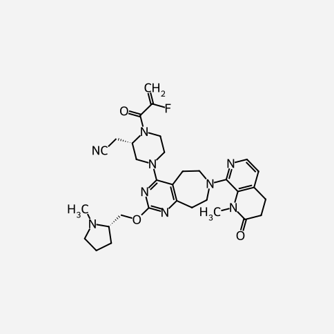 C=C(F)C(=O)N1CCN(c2nc(OC[C@@H]3CCCN3C)nc3c2CCN(c2nccc4c2N(C)C(=O)CC4)CC3)C[C@@H]1CC#N